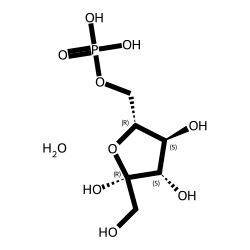 O.O=P(O)(O)OC[C@H]1O[C@](O)(CO)[C@@H](O)[C@@H]1O